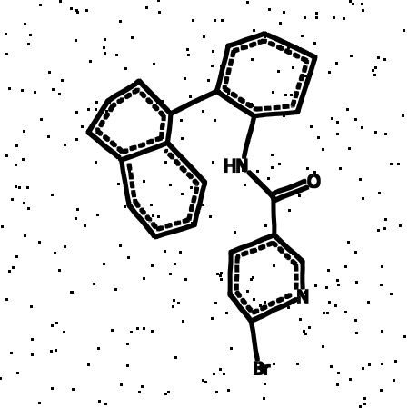 O=C(Nc1ccccc1-c1cccc2ccccc12)c1ccc(Br)nc1